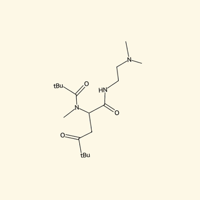 CN(C)CCNC(=O)C(CC(=O)C(C)(C)C)N(C)C(=O)C(C)(C)C